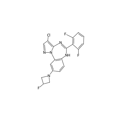 Fc1cccc(F)c1C1=Nc2c(Cl)cnn2-c2cc(N3CC(F)C3)ccc2N1